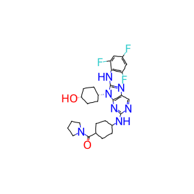 O=C(C1CCC(Nc2ncc3nc(Nc4c(F)cc(F)cc4F)n([C@H]4CC[C@@H](O)CC4)c3n2)CC1)N1CCCC1